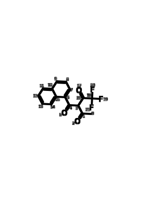 CC(=O)C(C(=O)c1cccc2ccccc12)C(=O)C(F)(F)F